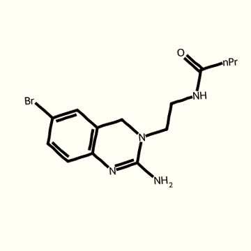 CCCC(=O)NCCN1Cc2cc(Br)ccc2N=C1N